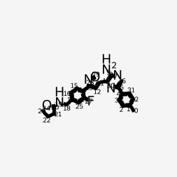 Cc1ccc(-c2cnc(N)c(-c3cc(-c4ccc(CNC5CCCO5)cc4F)no3)n2)cc1